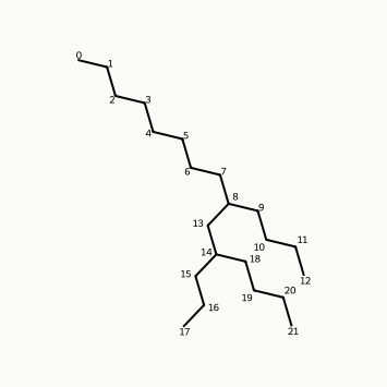 CCCCCCCCC(CCCC)CC(CCC)CCCC